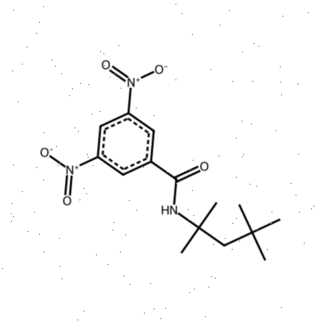 CC(C)(C)CC(C)(C)NC(=O)c1cc([N+](=O)[O-])cc([N+](=O)[O-])c1